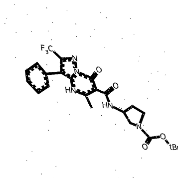 Cc1[nH]c2c(-c3ccccc3)c(C(F)(F)F)nn2c(=O)c1C(=O)NC1CCN(C(=O)OC(C)(C)C)C1